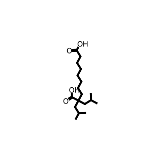 CC(C)CC(CCCCCCCC(=O)O)(CC(C)C)C(=O)O